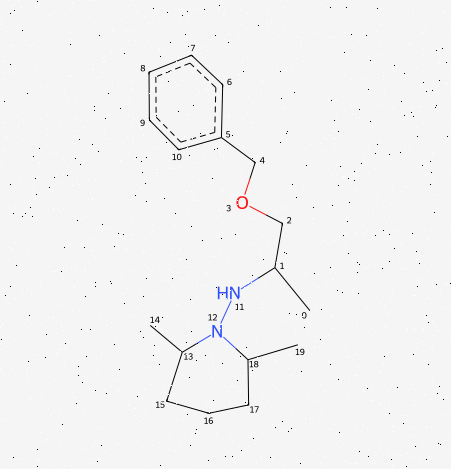 CC(COCc1ccccc1)NN1C(C)CCCC1C